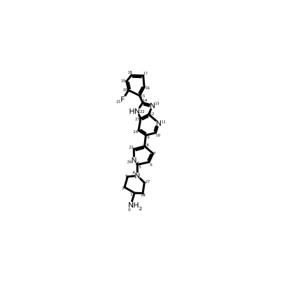 NC1CCN(c2ccc(-c3cnc4nc(-c5ccccc5F)[nH]c4c3)cn2)CC1